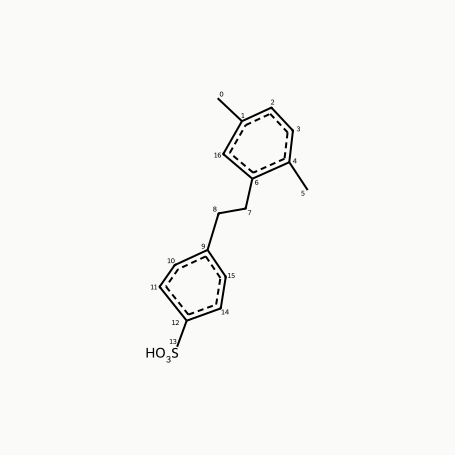 Cc1ccc(C)c(CCc2ccc(S(=O)(=O)O)cc2)c1